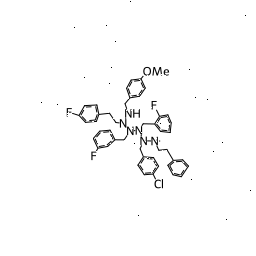 COc1ccc(CNN(CCc2ccc(F)cc2)N(Cc2cccc(F)c2)N(Cc2ccccc2F)N(Cc2ccc(Cl)cc2)[N]CCc2ccccc2)cc1